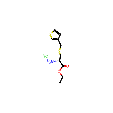 CCOC(=O)[C@@H](N)CSCc1ccsc1.Cl